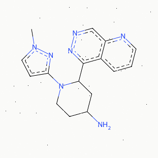 Cn1ccc(N2CCC(N)CC2c2nncc3ncccc23)n1